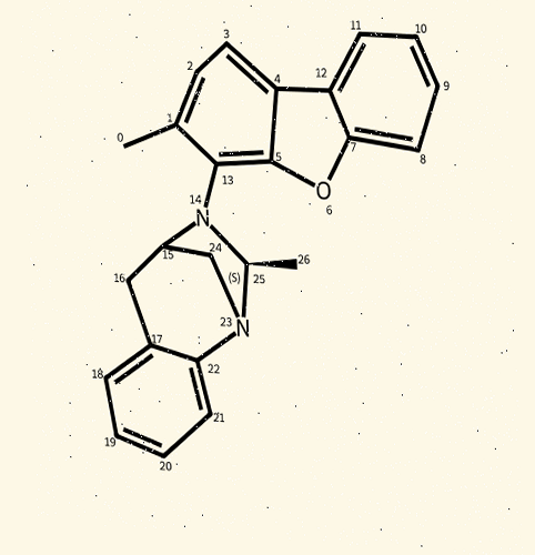 Cc1ccc2c(oc3ccccc32)c1N1C2Cc3ccccc3N(C2)[C@@H]1C